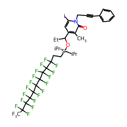 CCC(O[Si](CCC(F)(F)C(F)(F)C(F)(F)C(F)(F)C(F)(F)C(F)(F)C(F)(F)C(F)(F)C(F)(F)C(F)(F)F)(C(C)C)C(C)C)c1cc(I)n(CC#Cc2ccccc2)c(=O)c1C